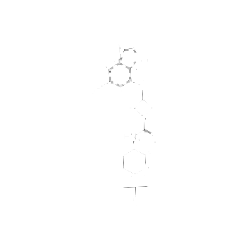 CC(C)(O)[C@@H]1CC[C@@H](NC(=O)N2CC(Oc3cc(F)cc4ncsc34)C2)CO1